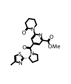 COC(=O)c1cc(C(=O)N2CCC[C@@H]2c2nc(C)cs2)cc(N2CCCCC2=O)n1